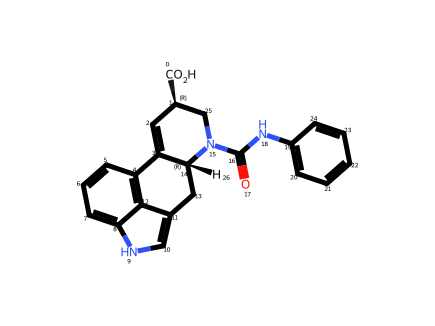 O=C(O)[C@@H]1C=C2c3cccc4[nH]cc(c34)C[C@H]2N(C(=O)Nc2ccccc2)C1